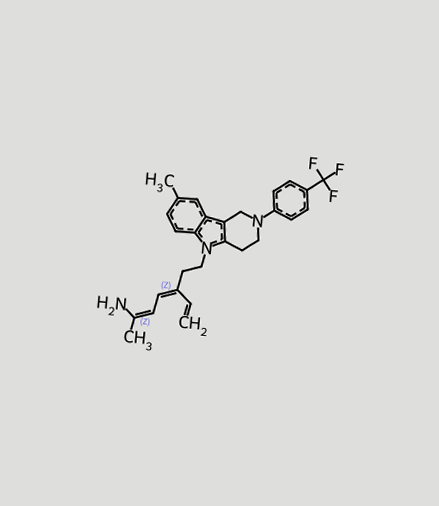 C=C/C(=C\C=C(\C)N)CCn1c2c(c3cc(C)ccc31)CN(c1ccc(C(F)(F)F)cc1)CC2